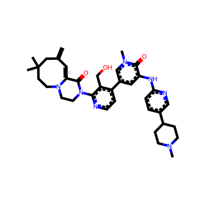 C=C1/C=C2/C(=O)N(c3nccc(-c4cc(Nc5ccc(C6CCN(C)CC6)cn5)c(=O)n(C)c4)c3CO)CCN2CCC(C)(C)C1